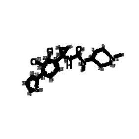 CN1CCC(N(C)C(=O)NC2(c3ccc(-c4cccs4)c(Cl)c3Cl)CC2)CC1